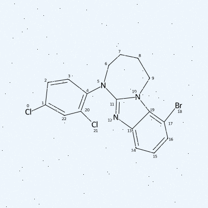 Clc1ccc(N2CCCCn3c2nc2cccc(Br)c23)c(Cl)c1